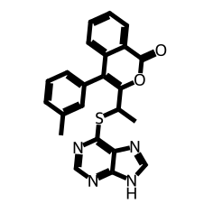 Cc1cccc(-c2c(C(C)Sc3ncnc4[nH]cnc34)oc(=O)c3ccccc23)c1